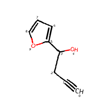 C#CCC(O)c1ccco1